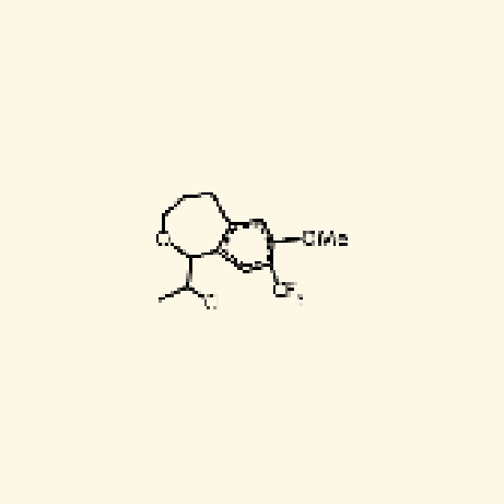 COc1cc2c(cc1C(F)(F)F)C(C(C)Cl)OCCC2